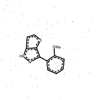 COc1ccccc1-c1n[nH]c2ccsc12